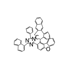 c1ccc(-c2nc(-c3ccc4oc5ccccc5c4c3[C@H]3CCc4cc5ccccc5cc4-c4ccccc43)nc(-c3cccc4ccccc34)n2)cc1